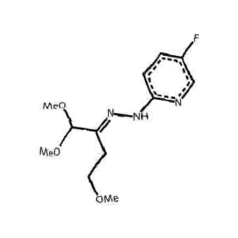 COCC/C(=N\Nc1ccc(F)cn1)C(OC)OC